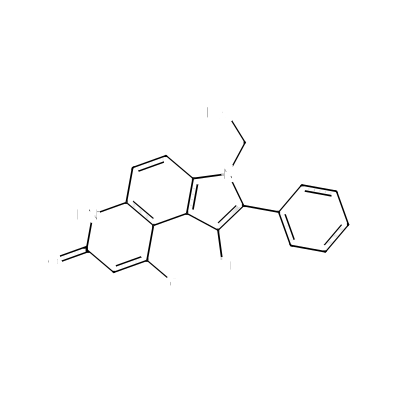 CCc1c(-c2ccccc2)n(CC(F)(F)F)c2ccc3[nH]c(=O)cc(Cl)c3c12